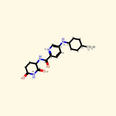 O=C1CCC(NC(=O)c2ccc(NC3CCC(C(=O)O)CC3)cn2)C(=O)N1